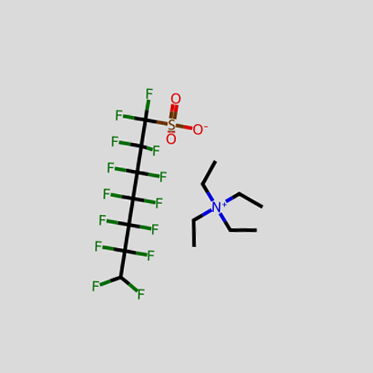 CC[N+](CC)(CC)CC.O=S(=O)([O-])C(F)(F)C(F)(F)C(F)(F)C(F)(F)C(F)(F)C(F)(F)C(F)F